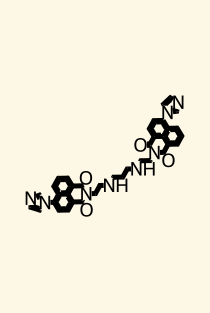 O=C1c2cccc3c(-n4ccnc4)ccc(c23)C(=O)N1CCNCCCNCCN1C(=O)c2cccc3c(-n4ccnc4)ccc(c23)C1=O